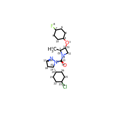 C[C@H]1[C@@H](OC2CCC(F)CC2)CN1C(=O)N1N=CC[C@H]1C1CCC(Cl)CC1